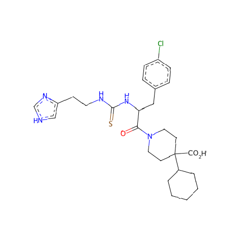 O=C(C(Cc1ccc(Cl)cc1)NC(=S)NCCc1c[nH]cn1)N1CCC(C(=O)O)(C2CCCCC2)CC1